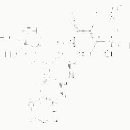 CC[C@@]1(O)CC(=O)Oc2c1cc1n(c2=O)Cc2c-1nc1cc3c(cc1c2CC[Si](C)(C)C)OCCO3